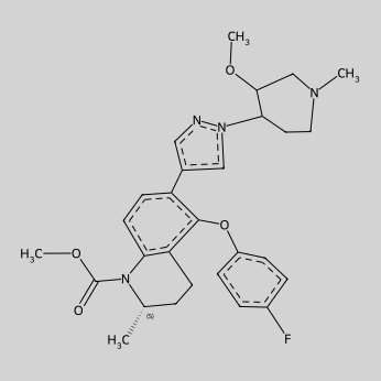 COC(=O)N1c2ccc(-c3cnn(C4CCN(C)CC4OC)c3)c(Oc3ccc(F)cc3)c2CC[C@@H]1C